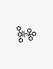 Cn1c(/C=N/C(c2ccccc2)(c2ccccc2)c2ccccc2)nc2c(-c3ccccc3)ccc(-c3ccccc3)c21